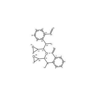 C=Cc1ccccc1C(C)C(OC(C1CO1)C(C)c1ccccc1C=C)C1CO1